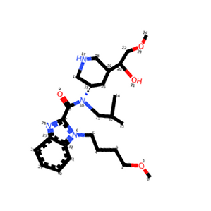 COCCCCn1c(C(=O)N(CC(C)C)[C@@H]2CNCC(C(O)COC)C2)nc2ccccc21